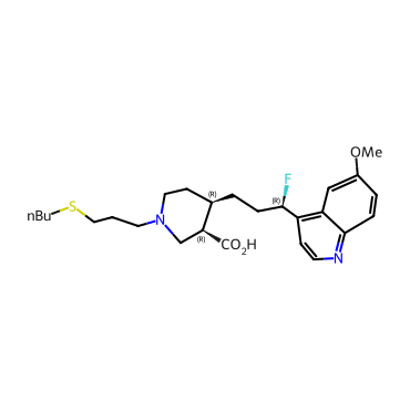 CCCCSCCCN1CC[C@@H](CC[C@@H](F)c2ccnc3ccc(OC)cc23)[C@@H](C(=O)O)C1